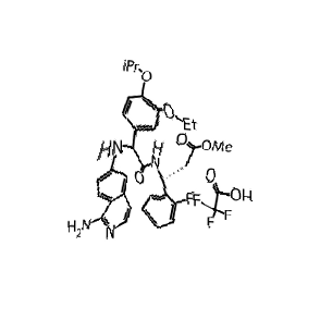 CCOc1cc(C(Nc2ccc3c(N)nccc3c2)C(=O)N[C@H](CC(=O)OC)c2ccccc2F)ccc1OC(C)C.O=C(O)C(F)(F)F